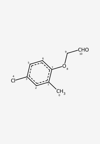 Cc1cc(Cl)ccc1OCC=O